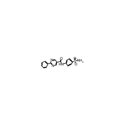 NS(=O)(=O)c1ccc(NC(=O)c2cnc(-c3ccccc3)nc2)cc1